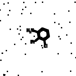 CC(C)c1c(N)cccc1Cl